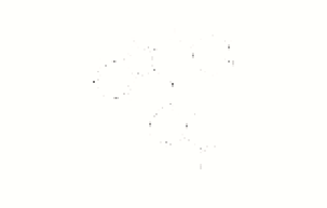 O=C(O)c1cccc(Cn2c(NC3CCNCC3)nc3ccccc32)n1